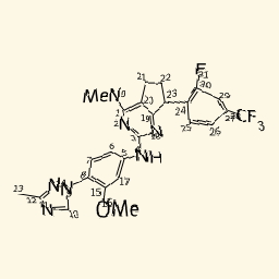 CNc1nc(Nc2ccc(-n3cnc(C)n3)c(OC)c2)nc2c1CCC2c1ccc(C(F)(F)F)cc1F